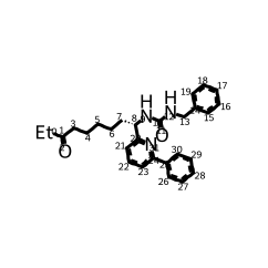 CCC(=O)CCCCC[C@H](NC(=O)NCc1ccccc1)c1cccc(-c2ccccc2)n1